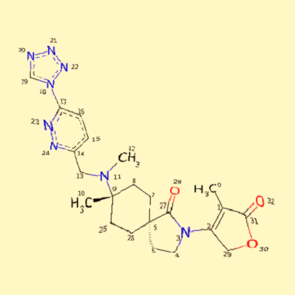 CC1=C(N2CC[C@]3(CC[C@@](C)(N(C)Cc4ccc(-n5cnnn5)nn4)CC3)C2=O)COC1=O